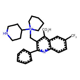 O=C(O)c1c(C[N+]2(C3CCNCC3)CCCCC2)c(-c2ccccc2)nc2ccc(C(F)(F)F)cc12